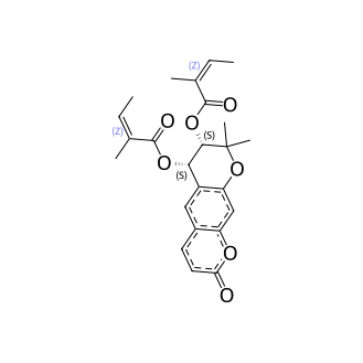 C/C=C(/C)C(=O)O[C@H]1c2cc3ccc(=O)oc3cc2OC(C)(C)[C@H]1OC(=O)/C(C)=C\C